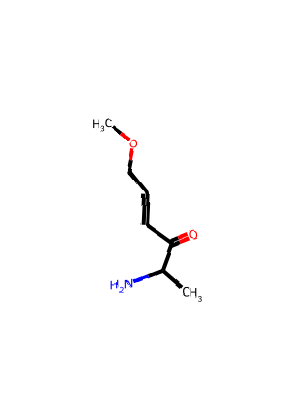 COC/C=C/C(=O)C(C)N